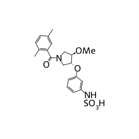 CO[C@@H]1CN(C(=O)c2cc(C)ccc2C)C[C@H]1Oc1cccc(NS(=O)(=O)O)c1